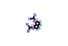 N#CC(C#N)=c1nc2c(o1)c(F)c(F)c1c(F)c(F)c3nc(=C(C#N)C#N)oc3c12